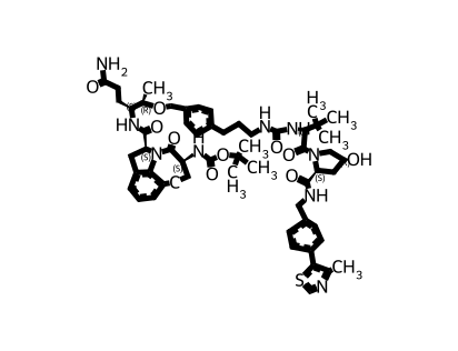 Cc1ncsc1-c1ccc(CNC(=O)[C@@H]2C[C@@H](O)CN2C(=O)[C@@H](NC(=O)NCCCc2ccc(CO[C@H](C)[C@H](CCC(N)=O)NC(=O)[C@@H]3Cc4cccc5c4N3C(=O)[C@@H](NC(=O)OC(C)(C)C)CC5)cc2)C(C)(C)C)cc1